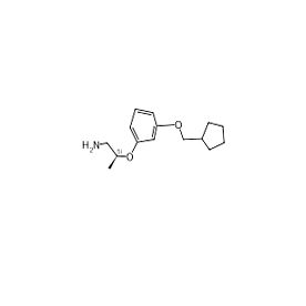 C[C@@H](CN)Oc1cccc(OCC2CCCC2)c1